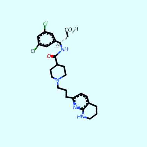 O=C(O)C[C@H](NC(=O)C1CCN(CCCc2ccc3c(n2)NCCC3)CC1)c1cc(Cl)cc(Cl)c1